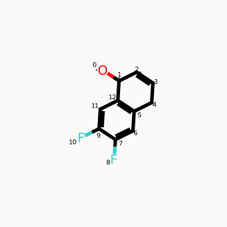 [O][C]1[C]=CCc2cc(F)c(F)cc21